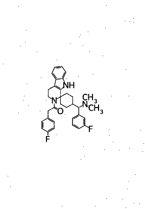 CN(C)C(c1cccc(F)c1)C1CCC2(CC1)c1[nH]c3ccccc3c1CCN2C(=O)Cc1ccc(F)cc1